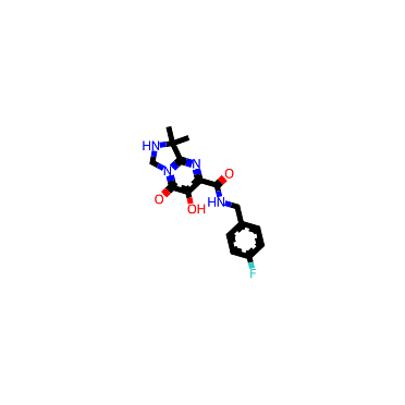 CC1(C)NCn2c1nc(C(=O)NCc1ccc(F)cc1)c(O)c2=O